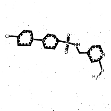 COc1cc(CNS(=O)(=O)c2ccc(-c3ccc(Cl)cc3)cc2)ccn1